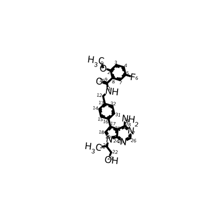 COc1ccc(F)cc1C(=O)NCc1ccc(-c2cn(C(C)CO)c3ncnc(N)c23)cc1